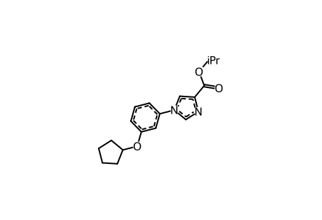 CC(C)OC(=O)c1cn(-c2cccc(OC3CCCC3)c2)cn1